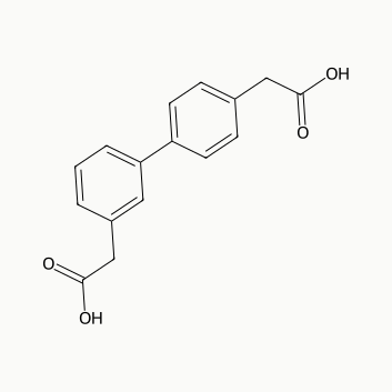 O=C(O)Cc1ccc(-c2cccc(CC(=O)O)c2)cc1